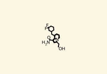 NC(=O)c1cc(CCO)n2cccc(CC3CCCC(F)(F)C3)c12